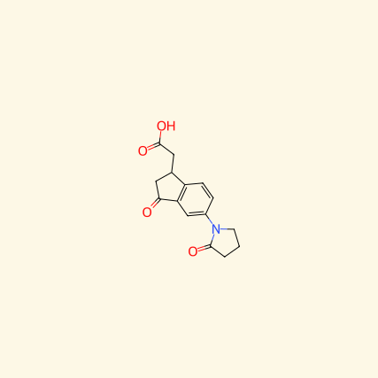 O=C(O)CC1CC(=O)c2cc(N3CCCC3=O)ccc21